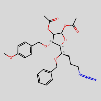 COc1ccc(CO[C@@H]2C(OC(C)=O)C(OC(C)=O)O[C@@H]2[C@@H](CCCN=[N+]=[N-])OCc2ccccc2)cc1